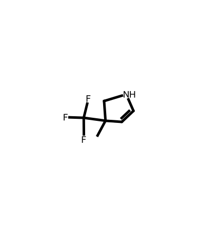 CC1(C(F)(F)F)C=CNC1